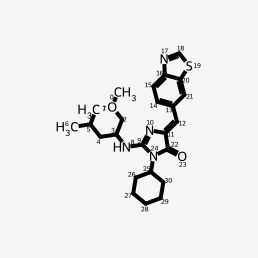 COCC(CC(C)C)NC1=N/C(=C\c2ccc3ncsc3c2)C(=O)N1C1CCCCC1